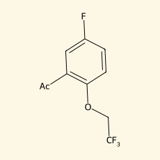 CC(=O)c1cc(F)ccc1OCC(F)(F)F